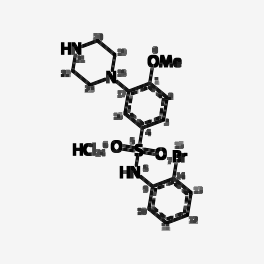 COc1ccc(S(=O)(=O)Nc2ccccc2Br)cc1N1CCNCC1.Cl